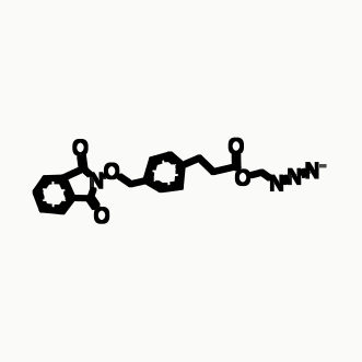 [N-]=[N+]=NCOC(=O)CCc1ccc(CON2C(=O)c3ccccc3C2=O)cc1